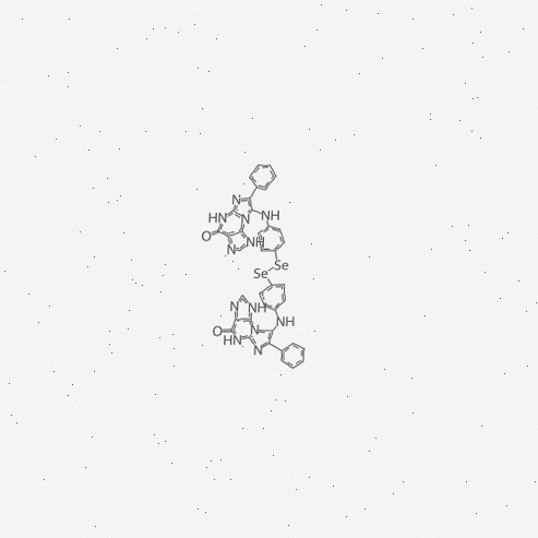 O=c1[nH]c2nc(-c3ccccc3)c(Nc3ccc([Se][Se]c4ccc(Nc5c(-c6ccccc6)nc6[nH]c(=O)c7nc[nH]c7n56)cc4)cc3)n2c2[nH]cnc12